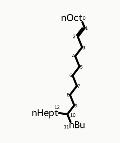 [CH2]CCCCCCCC=CCCCCCCCC(CCCC)CCCCCC[CH2]